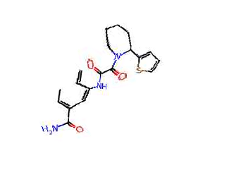 C=C/C(=C\C(=C/C)C(N)=O)NC(=O)C(=O)N1CCCCC1c1cccs1